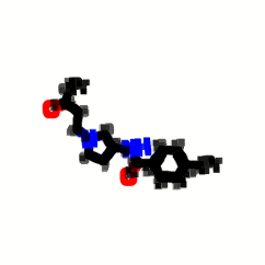 CC(C)C(=O)CCN1CCC(NC(=O)c2ccc(C(C)C)cc2)C1